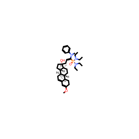 CCN(CC)P(=O)(C(=CC[C@]1(O)CC[C@H]2[C@@H]3CC=C4C=C(OC)CC[C@]4(C)[C@H]3CC[C@@]21C)N(C)c1ccccc1)N(CC)CC